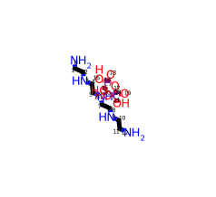 NCCNCCNCCNCCN.O=P(O)(O)OP(=O)(O)O